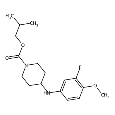 COc1ccc(NC2CCN(C(=O)OCC(C)C)CC2)cc1F